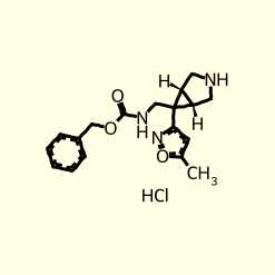 Cc1cc(C2(CNC(=O)OCc3ccccc3)[C@@H]3CNC[C@@H]32)no1.Cl